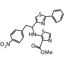 COC(=O)c1ncsc1NC(Cc1ccc([N+](=O)[O-])cc1)c1csc(-c2ccccc2)n1